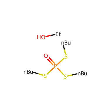 CCCCSP(=O)(SCCCC)SCCCC.CCO